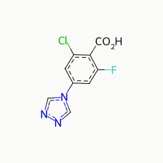 O=C(O)c1c(F)cc(-n2cnnc2)cc1Cl